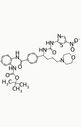 CC(C)(C)OC(=O)Nc1ccccc1NC(=O)c1ccc(C(CCCN2CCOCC2)NC(=O)Nc2ncc([N+](=O)[O-])s2)cc1